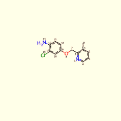 Cc1cccnc1COc1ccc(N)c(Cl)c1